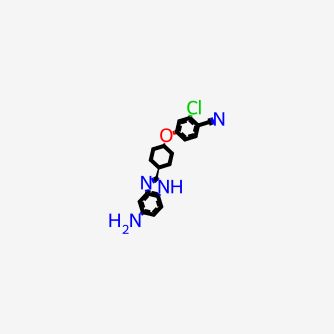 N#Cc1ccc(O[C@H]2CC[C@H](c3nc4cc(N)ccc4[nH]3)CC2)cc1Cl